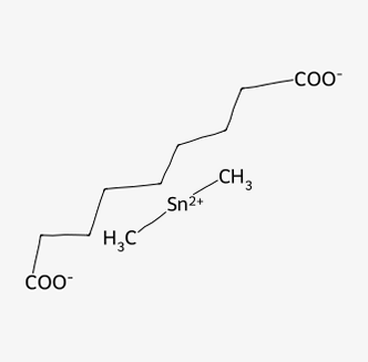 O=C([O-])CCCCCCCC(=O)[O-].[CH3][Sn+2][CH3]